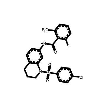 O=C(Nc1ccc2c(c1)N(S(=O)(=O)c1ccc(Cl)cc1)CCC2)c1c(F)cccc1C(F)(F)F